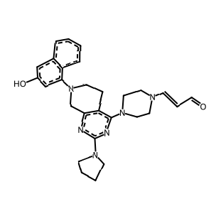 O=CC=CN1CCN(c2nc(N3CCCC3)nc3c2CCN(c2cc(O)cc4ccccc24)C3)CC1